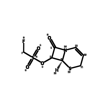 O=C1C(OS(=O)(=O)CF)[C@@H]2SCC=CN12